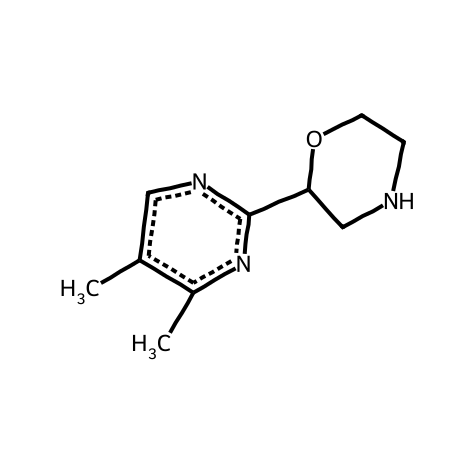 Cc1cnc(C2CNCCO2)nc1C